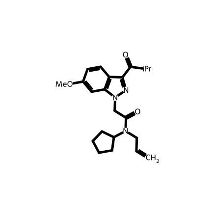 C=CCN(C(=O)Cn1nc(C(=O)C(C)C)c2ccc(OC)cc21)C1CCCC1